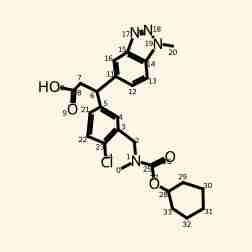 CN(Cc1cc(C(CC(=O)O)c2ccc3c(c2)nnn3C)ccc1Cl)C(=O)OC1CCCCC1